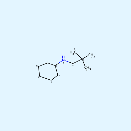 CC(C)(C)CNC1[CH]CCCC1